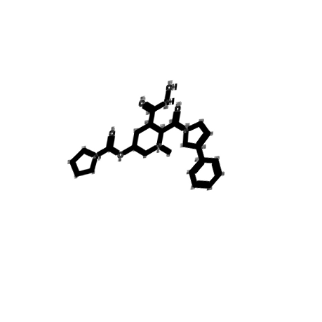 CN1CC(OC(=O)N2CCCC2)CC(C(=O)NO)C1C(=O)N1CC=C(c2ccccc2)C1